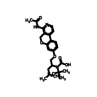 CC(=O)Nc1nccc2c1COc1cc(OCC(CC(C)C)N(C(=O)O)C(C)(C)C)ccc1-2